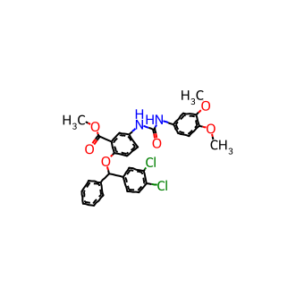 COC(=O)c1cc(NC(=O)Nc2ccc(OC)c(OC)c2)ccc1OC(c1ccccc1)c1ccc(Cl)c(Cl)c1